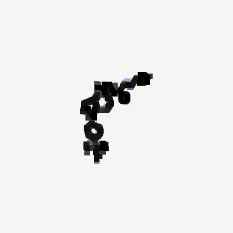 O=C(/C=C/CBr)Nc1ccc2c(ccn2-c2ccc(C(F)(F)F)cc2)c1